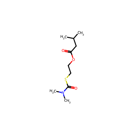 CC(C)CC(=O)OCCSC(=O)N(C)C